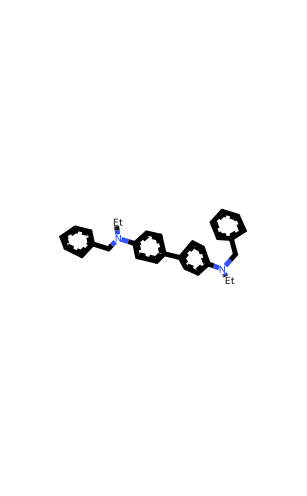 CCN(Cc1ccccc1)c1ccc(-c2ccc(N(CC)Cc3ccccc3)cc2)cc1